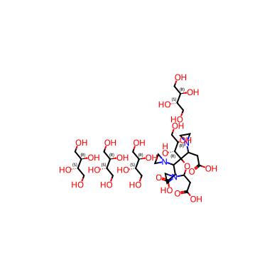 O=C(O)CC(OC(C(CC(=O)O)N1CC1)(C(CC(=O)O)N1CC1)[C@H](O)[C@H](O)CO)N1CC1.OC[C@@H](O)[C@@H](O)CO.OC[C@@H](O)[C@@H](O)CO.OC[C@@H](O)[C@@H](O)CO.OC[C@@H](O)[C@@H](O)CO